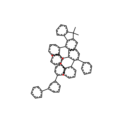 CC1(C)c2ccccc2-c2c(-c3ccccc3N(c3ccc(-c4cccc(-c5ccccc5)c4)cc3)c3cccc(-c4ccccc4)c3-c3ccccc3-c3ccccc3)cccc21